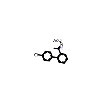 CC(=O)O/N=C(\C)c1ccccc1-c1ccc(Cl)cc1